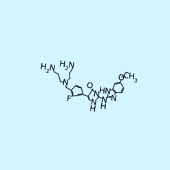 COc1ccc2nc(Nc3nc(=O)c(-c4ccc(CN(CCCN)CCCN)c(F)c4)c[nH]3)[nH]c2c1